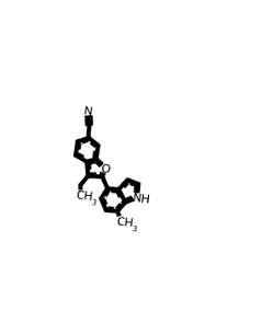 CCc1c(-c2ccc(C)c3[nH]ccc23)oc2cc(C#N)ccc12